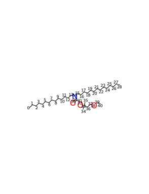 CCCCCCCCCCCCCCN(CCCCCCCCCCCCCC)C(=O)COC(C)(C)CCOCC